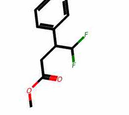 COC(=O)CC(c1ccccc1)C(F)F